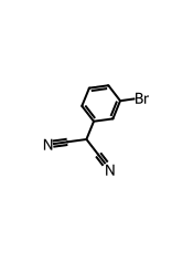 N#CC(C#N)c1cccc(Br)c1